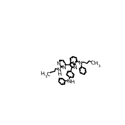 CCCCNc1nccc(-c2c(-c3ccc(Nc4ccccc4)cc3)nn3c(N(CCCC)c4ccccc4)cccc23)n1